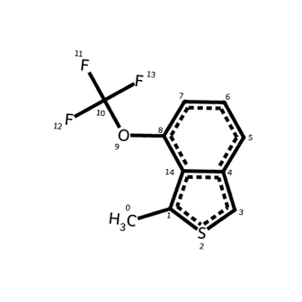 Cc1scc2cccc(OC(F)(F)F)c12